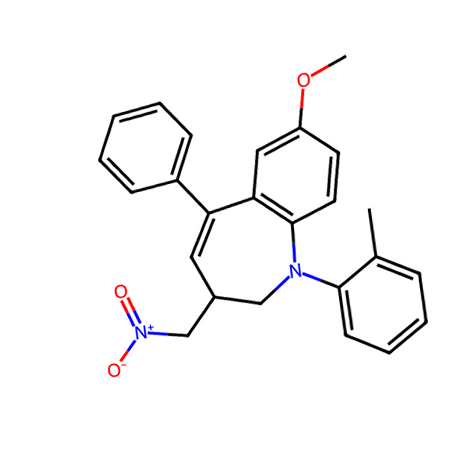 COc1ccc2c(c1)C(c1ccccc1)=CC(C[N+](=O)[O-])CN2c1ccccc1C